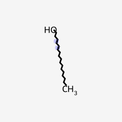 CCCCCCCCCCCC/C=C/C=C/CCO